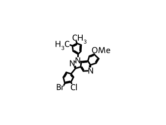 COc1ccc2ncc3c(-c4ccc(Br)c(Cl)c4)nn(-c4ccc(C)c(C)c4)c3c2c1